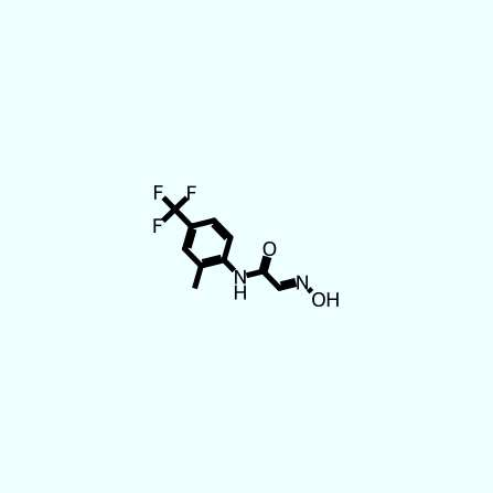 Cc1cc(C(F)(F)F)ccc1NC(=O)C=NO